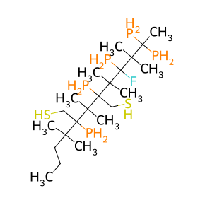 CCCC(C)(C)C(P)(CS)C(C)(C)C(P)(CS)C(C)(C)C(F)(P)C(C)(C)C(C)(P)P